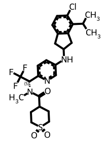 CC(C)c1c(Cl)ccc2c1CC(Nc1ccc([C@H](N(C)C(=O)C3CCS(=O)(=O)CC3)C(F)(F)F)nc1)C2